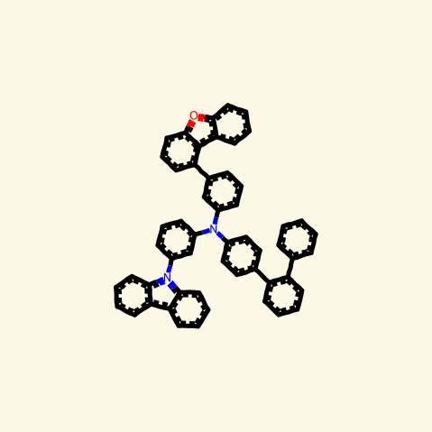 c1ccc(-c2ccccc2-c2ccc(N(c3cccc(-c4cccc5oc6ccccc6c45)c3)c3cccc(-n4c5ccccc5c5ccccc54)c3)cc2)cc1